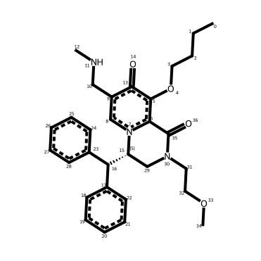 CCCCOc1c2n(cc(CNC)c1=O)[C@@H](C(c1ccccc1)c1ccccc1)CN(CCOC)C2=O